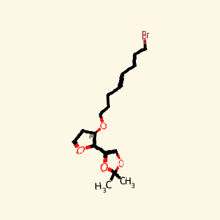 CC1(C)OCC(C2OCC[C@H]2OCCCCCCCCBr)O1